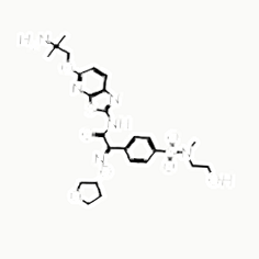 CN(CCO)S(=O)(=O)c1ccc(/C(=N\O[C@@H]2CCOC2)C(=O)Nc2nc3ccc(OCC(C)(C)N)nc3s2)cc1